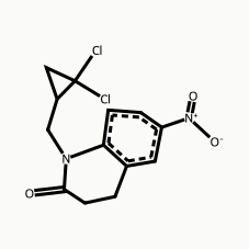 O=C1CCc2cc([N+](=O)[O-])ccc2N1CC1CC1(Cl)Cl